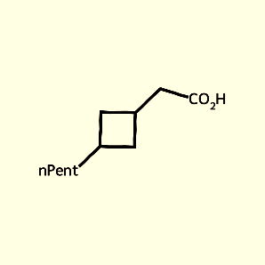 CCCCCC1CC(CC(=O)O)C1